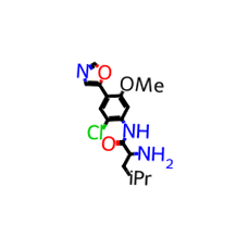 COc1cc(NC(=O)C(N)CC(C)C)c(Cl)cc1-c1cnco1